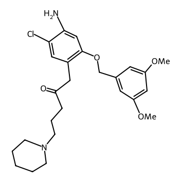 COc1cc(COc2cc(N)c(Cl)cc2CC(=O)CCCN2CCCCC2)cc(OC)c1